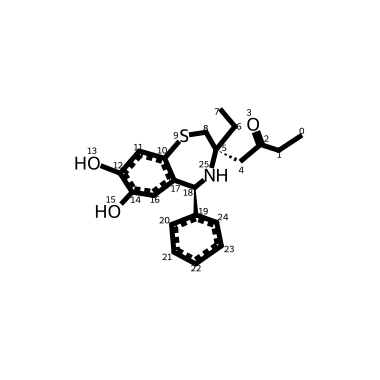 CCC(=O)C[C@@]1(CC)CSc2cc(O)c(O)cc2[C@H](c2ccccc2)N1